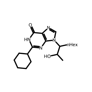 CCCCCCC(C(C)O)n1cnc2c(=O)[nH]c(C3CCCCC3)nc21